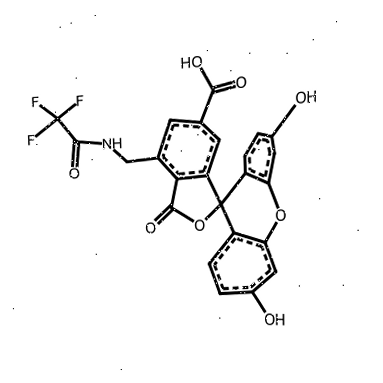 O=C(O)c1cc(CNC(=O)C(F)(F)F)c2c(c1)C1(OC2=O)c2ccc(O)cc2Oc2cc(O)ccc21